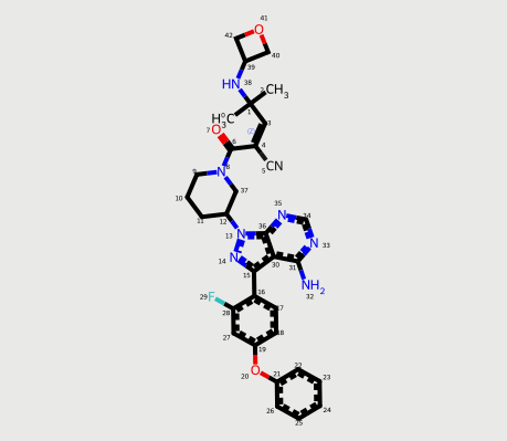 CC(C)(/C=C(/C#N)C(=O)N1CCCC(n2nc(-c3ccc(Oc4ccccc4)cc3F)c3c(N)ncnc32)C1)NC1COC1